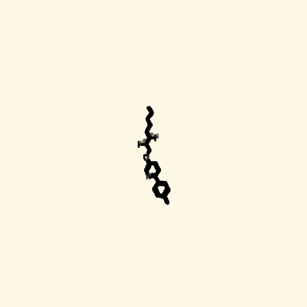 CCCCC[C@@H](F)[C@H](F)COc1ccc(-c2ccc(C)cc2)nc1